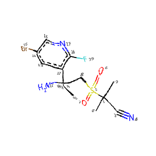 CC(C)(C#N)S(=O)(=O)C[C@](C)(N)c1cc(Br)cnc1F